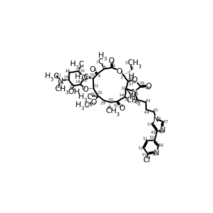 CC[C@H]1OC(=O)[C@H](C)C(=O)[C@H](C)[C@@H](OC2O[C@H](C)C[C@H](N(C)C)[C@H]2O)[C@@](C)(OC)C[C@@H](C)C(=O)[C@H](C)[C@@H]2[C@@H]1OC(=O)N2CCCCn1cnc(-c2ccc(Cl)nc2)c1